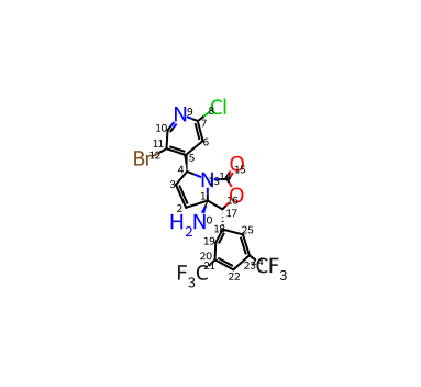 N[C@@]12C=C[C@@H](c3cc(Cl)ncc3Br)N1C(=O)O[C@@H]2c1cc(C(F)(F)F)cc(C(F)(F)F)c1